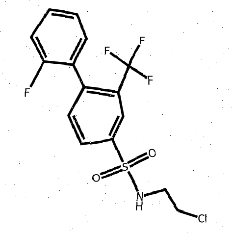 O=S(=O)(NCCCl)c1ccc(-c2ccccc2F)c(C(F)(F)F)c1